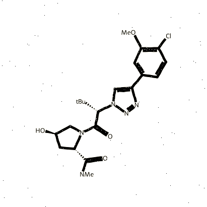 CNC(=O)[C@@H]1C[C@@H](O)CN1C(=O)[C@@H](n1cc(-c2ccc(Cl)c(OC)c2)nn1)C(C)(C)C